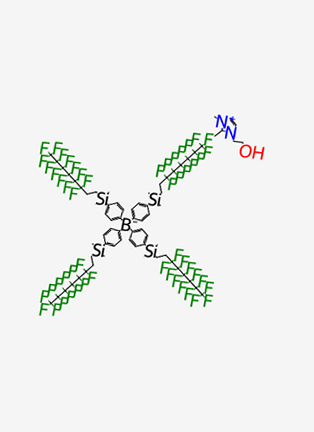 C[Si](C)(CCC(F)(F)C(F)(F)C(F)(F)C(F)(F)C(F)(F)C(F)(F)F)c1ccc([B-](c2ccc([Si](C)(C)CCC(F)(F)C(F)(F)C(F)(F)C(F)(F)C(F)(F)C(F)(F)F)cc2)(c2ccc([Si](C)(C)CCC(F)(F)C(F)(F)C(F)(F)C(F)(F)C(F)(F)C(F)(F)F)cc2)c2ccc([Si](C)(C)CCC(F)(F)C(F)(F)C(F)(F)C(F)(F)C(F)(F)C(F)(F)F)cc2)cc1.Cc1n(CCO)cc[n+]1C